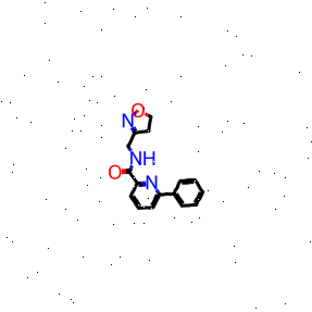 O=C(NCC1=NOCC1)c1cccc(-c2ccccc2)n1